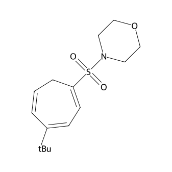 CC(C)(C)C1=CC=C(S(=O)(=O)N2CCOCC2)CC=C1